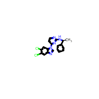 C[C@H](Nc1nccc(-n2cnc3cc(Cl)c(Cl)cc32)n1)c1ccccc1